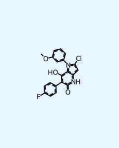 COc1cccc(-n2c(Cl)cc3[nH]c(=O)c(-c4ccc(F)cc4)c(O)c32)c1